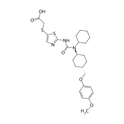 COc1ccc(OC[C@H]2CC[C@H](N(C(=O)Nc3ncc(SCC(=O)O)s3)C3CCCCC3)CC2)cc1